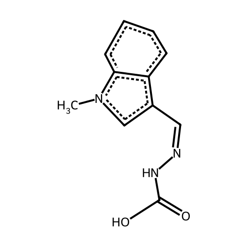 Cn1cc(/C=N\NC(=O)O)c2ccccc21